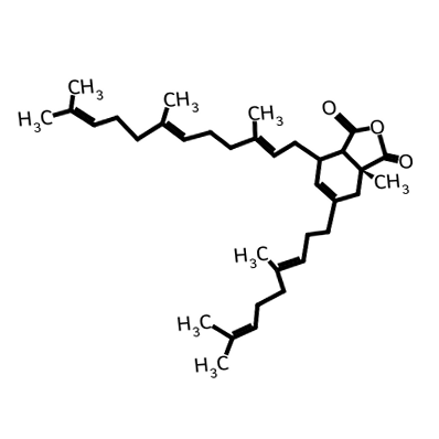 CC(C)=CCC/C(C)=C/CCC1=CC(C/C=C(\C)CC/C=C(\C)CCC=C(C)C)C2C(=O)OC(=O)[C@]2(C)C1